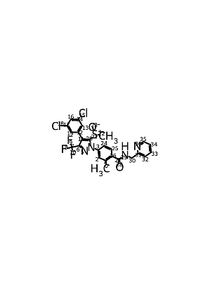 Cc1cc(-n2nc(C(F)(F)F)c(-c3cc(Cl)cc(Cl)c3)c2[S+](C)[O-])ccc1C(=O)NCc1ccccn1